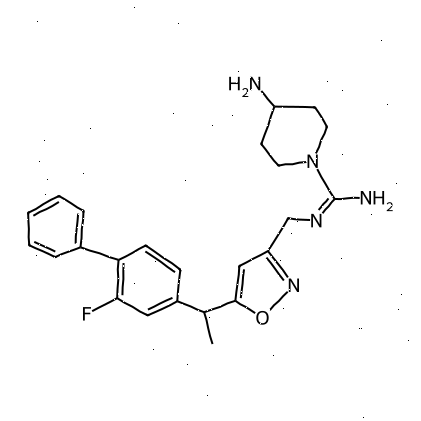 CC(c1ccc(-c2ccccc2)c(F)c1)c1cc(C/N=C(/N)N2CCC(N)CC2)no1